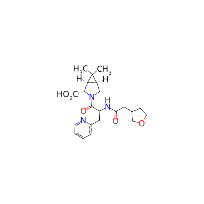 CC1(C)[C@@H]2[C@@H](C(=O)O)N(C(=O)[C@H](Cc3ccccn3)NC(=O)CC3CCOC3)C[C@@H]21